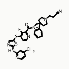 Cc1ccnc(Nc2ncc(Sc3ccnc(C(=O)NCC4(c5ccccc5)CCN(CCC#N)CC4)c3F)s2)c1